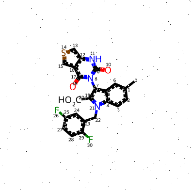 Cc1ccc2c(c1)c(-n1c(=O)[nH]c3cscc3c1=O)c(C(=O)O)n2Cc1cc(F)ccc1F